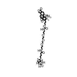 C[C@H]1C=C(CCCOC(=O)NCCCOCCOCCOCCCNC(=O)CCCC[C@@H]2SC[C@@H]3NC(=O)N[C@@H]32)C(=O)[C@]23O[C@H]2CC2C4=C(CC[C@]2(C)[C@]13C)C(=O)OC4